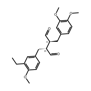 CCc1cc(C[C@@H](C=O)[C@@H](C=O)Cc2ccc(OC)c(OC)c2)ccc1OC